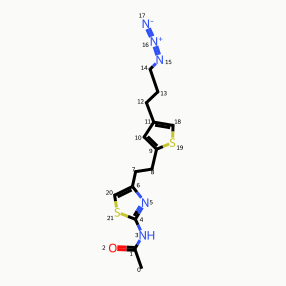 CC(=O)Nc1nc(CCc2cc(CCCN=[N+]=[N-])cs2)cs1